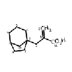 C=C(CC12CCCC(CC1)C2)C(=O)O